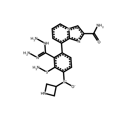 N/N=C(\NN)c1c(-c2cccn3cc(C(N)=O)nc23)ccc([S+]([O-])C2CNC2)c1SN